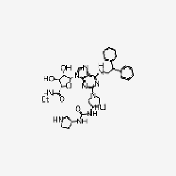 CCNC(=O)[C@H]1O[C@@H](n2cnc3c(NCC(c4ccccc4)c4ccccc4)nc(N4CC[C@@H](NC(=O)NC5CCNC5)C4)nc32)[C@H](O)[C@@H]1O.Cl